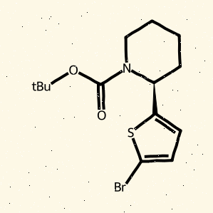 CC(C)(C)OC(=O)N1CCCC[C@H]1c1ccc(Br)s1